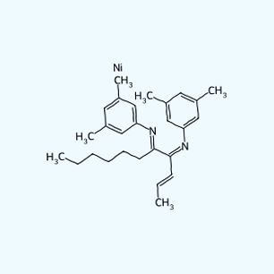 CC=CC(=Nc1cc(C)cc(C)c1)C(CCCCCC)=Nc1cc(C)cc(C)c1.[Ni]